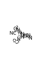 C=CC(=O)N1CCN(c2nc(OC[C@@H]3CN(C)CCN3)nc3c2CCN(c2cccc4ccccc24)C3)CC1CC#N